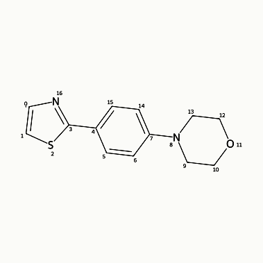 [c]1csc(-c2ccc(N3CCOCC3)cc2)n1